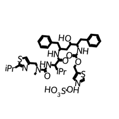 CC(C)c1nc(CN(C)C(=O)NC(C(=O)NC(Cc2ccccc2)CC(O)C(Cc2ccccc2)NC(=O)OCc2cncs2)C(C)C)cs1.O=S(=O)(O)O